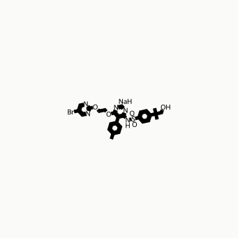 Cc1ccc(-c2c(NS(=O)(=O)c3ccc(C(C)(C)CO)cc3)ncnc2OCCOc2ncc(Br)cn2)cc1.[NaH]